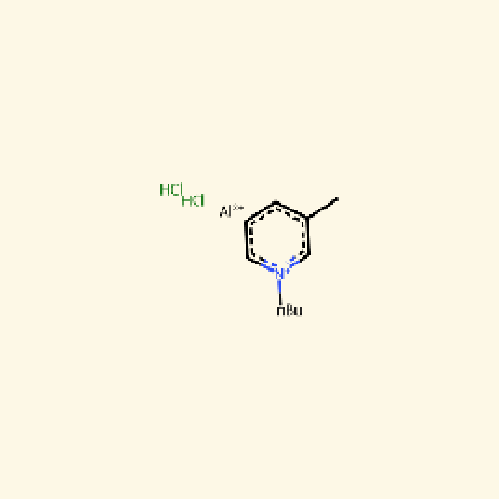 CCCC[n+]1cccc(C)c1.Cl.Cl.[Al+3]